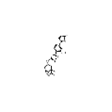 Cc1ccn(-c2ccc(-c3nnc(OC4CC5CCC(F)C(C)(C4)N5C)s3)c(O)c2)n1